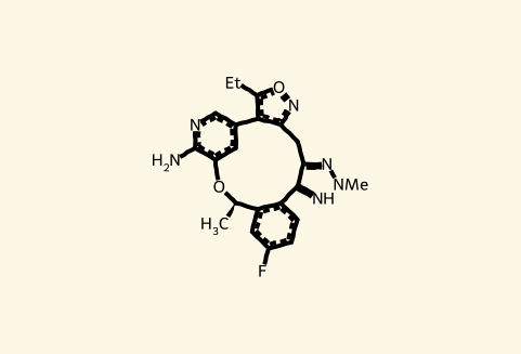 CCc1onc2c1-c1cnc(N)c(c1)O[C@H](C)c1cc(F)ccc1C(=N)/C(=N\NC)C2